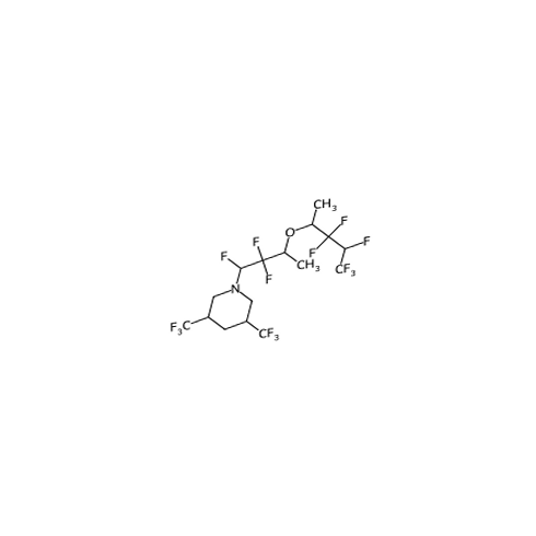 CC(OC(C)C(F)(F)C(F)C(F)(F)F)C(F)(F)C(F)N1CC(C(F)(F)F)CC(C(F)(F)F)C1